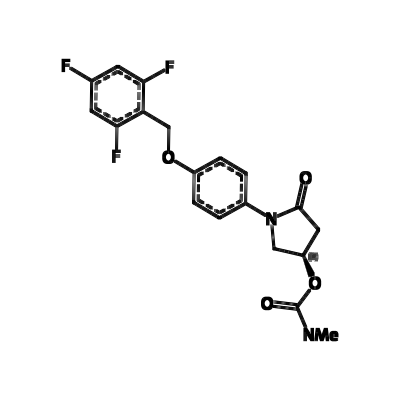 CNC(=O)O[C@@H]1CC(=O)N(c2ccc(OCc3c(F)cc(F)cc3F)cc2)C1